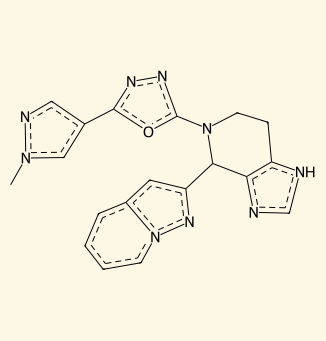 Cn1cc(-c2nnc(N3CCc4[nH]cnc4C3c3cc4ccccn4n3)o2)cn1